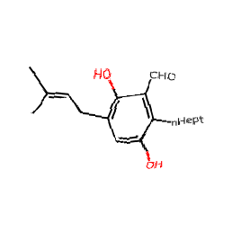 CCCCCCCc1c(O)cc(CC=C(C)C)c(O)c1C=O